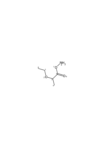 CCOC(C)C(=O)ON